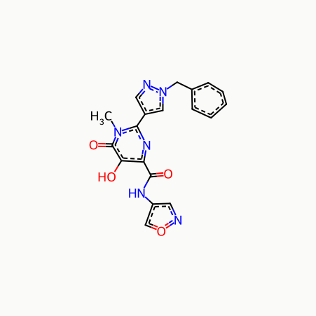 Cn1c(-c2cnn(Cc3ccccc3)c2)nc(C(=O)Nc2cnoc2)c(O)c1=O